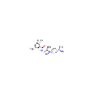 CCC[C@@H]1C[C@H](N(C)C(C)C)CC[C@@H]1N1CC[C@H](NC(=O)c2cc(C(=O)O)cc(C(C)(C)C)c2)C1=O